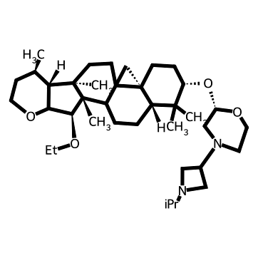 CCO[C@H]1C2OCC[C@@H](C)[C@@H]2[C@@]2(C)CCC34C[C@@]35CC[C@H](O[C@H]3CN(C6CN(C(C)C)C6)CCO3)C(C)(C)[C@@H]5CCC4[C@]12C